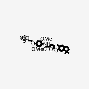 COc1cc(OCCOS(C)(=O)=O)cc(OC)c1NC(=O)c1ccc(Oc2cc3c(cc2C)CCC3(C)C)o1